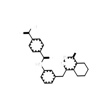 CC(=O)c1ccc(C(=O)Nc2cccc(Cc3n[nH]c(=O)c4c3CCCC4)c2)cc1